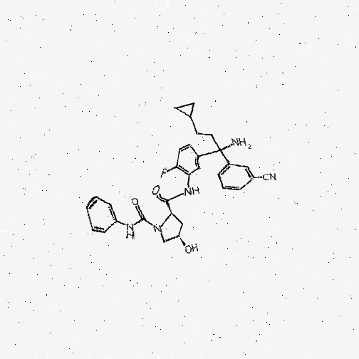 N#Cc1cccc(C(N)(CCC2CC2)c2ccc(F)c(NC(=O)[C@H]3C[C@@H](O)CN3C(=O)Nc3ccccc3)c2)c1